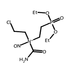 CCOP(=O)(CC[N+](CCCl)(N=O)C(N)=O)OCC